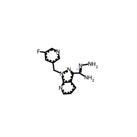 N/N=C(\N)c1nn(Cc2cncc(F)c2)c2ncccc12